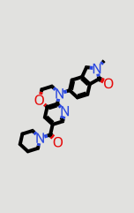 CN1Cc2cc(N3CCOc4cc(C(=O)N5CCCCC5)cnc43)ccc2C1=O